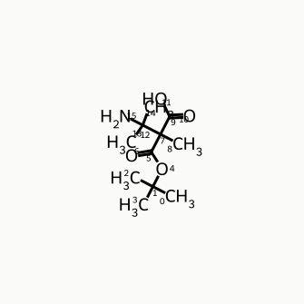 CC(C)(C)OC(=O)C(C)(C(=O)O)C(C)(C)N